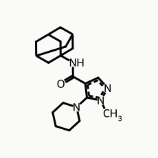 Cn1ncc(C(=O)NC23CC4CC(CC(C4)C2)C3)c1N1CCCCC1